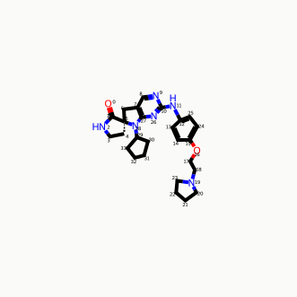 O=C1NCC[C@@]12Cc1cnc(Nc3ccc(OCCN4CCCC4)cc3)nc1N2C1CCCC1